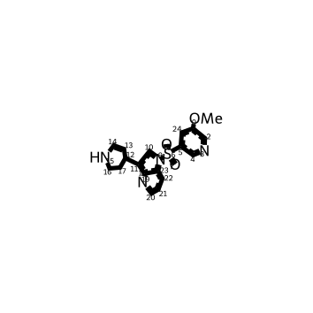 COc1cncc(S(=O)(=O)n2cc(C3C=CNCC3)c3ncccc32)c1